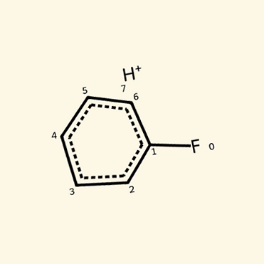 Fc1ccccc1.[H+]